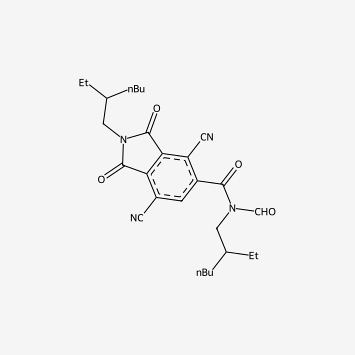 CCCCC(CC)CN(C=O)C(=O)c1cc(C#N)c2c(c1C#N)C(=O)N(CC(CC)CCCC)C2=O